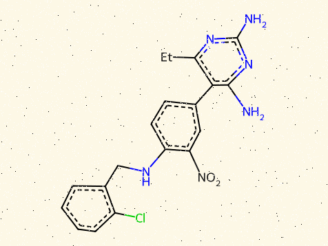 CCc1nc(N)nc(N)c1-c1ccc(NCc2ccccc2Cl)c([N+](=O)[O-])c1